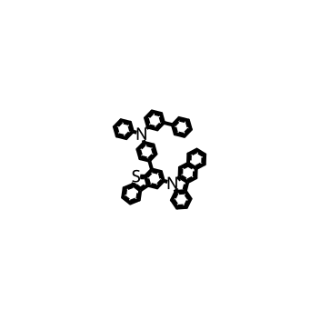 c1ccc(-c2cccc(N(c3ccccc3)c3ccc(-c4cc(-n5c6ccccc6c6cc7ccccc7cc65)cc5c4sc4ccccc45)cc3)c2)cc1